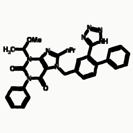 CCCc1nc2c(c(=O)n(-c3ccccc3)c(=O)n2C(C)OC)n1Cc1ccc(-c2ccccc2)c(-c2nnn[nH]2)c1